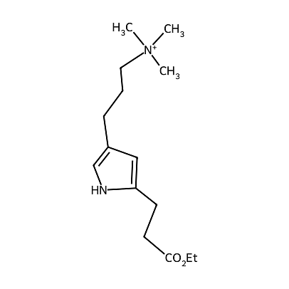 CCOC(=O)CCc1cc(CCC[N+](C)(C)C)c[nH]1